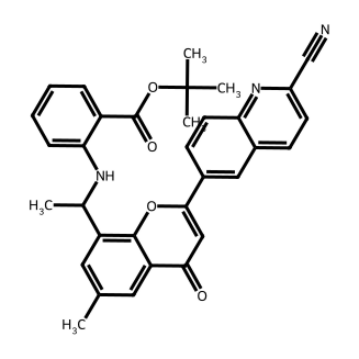 Cc1cc(C(C)Nc2ccccc2C(=O)OC(C)(C)C)c2oc(-c3ccc4nc(C#N)ccc4c3)cc(=O)c2c1